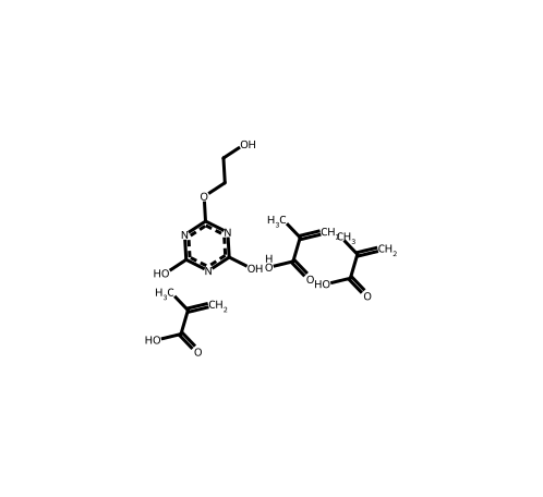 C=C(C)C(=O)O.C=C(C)C(=O)O.C=C(C)C(=O)O.OCCOc1nc(O)nc(O)n1